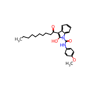 CCCCCCCCCC(=O)c1c(O)n(C(=O)Nc2ccc(OC)cc2)c2ccccc12